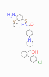 Nc1ccc(SNC(=O)c2ccc(N3CCC(C(O)c4ccccc4-c4ccc(Cl)cc4)CC3)cc2)cc1SC(F)(F)F